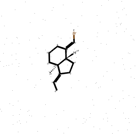 CC=C1CC[C@H]2C(=CBr)CCC[C@]12C